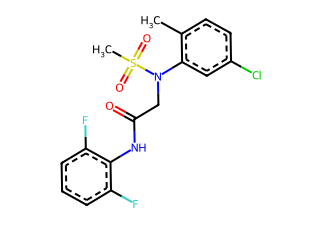 Cc1ccc(Cl)cc1N(CC(=O)Nc1c(F)cccc1F)S(C)(=O)=O